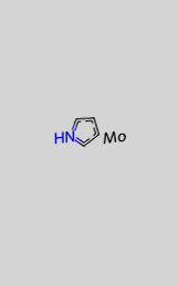 [Mo].c1cc[nH]c1